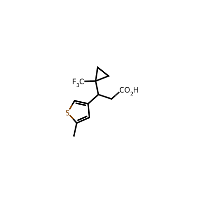 Cc1cc(C(CC(=O)O)C2(C(F)(F)F)CC2)cs1